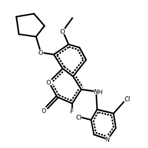 COc1ccc2c(Nc3c(Cl)cncc3Cl)c(F)c(=O)oc2c1OC1CCCC1